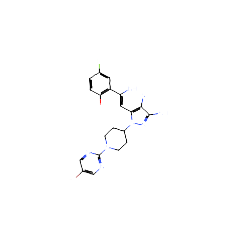 N/C(=C\c1c(N)c(N)nn1C1CCN(c2ncc(Br)cn2)CC1)c1cc(F)ccc1O